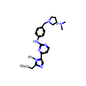 COCc1ncc(-c2ccnc(Nc3ccc(CN4CC[C@H](N(C)C)C4)cc3)n2)n1C(C)C